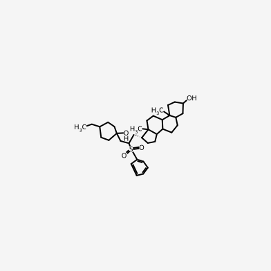 CCC1CCC(O)(CC(C[C@H]2CCC3C4CCC5CC(O)CCC5(C)C4CCC32C)S(=O)(=O)c2ccccc2)CC1